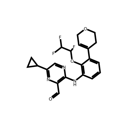 O=Cc1nc(C2CC2)cnc1Nc1cccc(C2=CCOCC2)c1OC(F)C(F)F